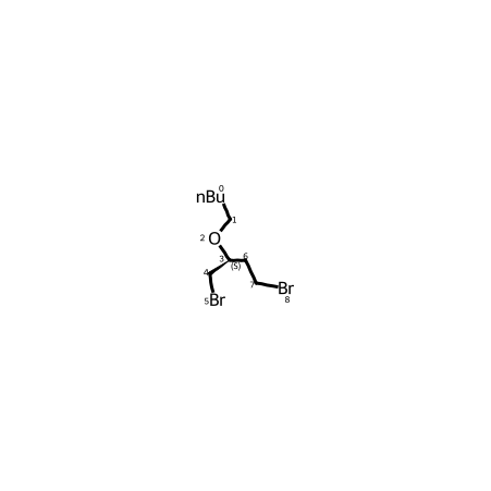 CCCCCO[C@H](CBr)CCBr